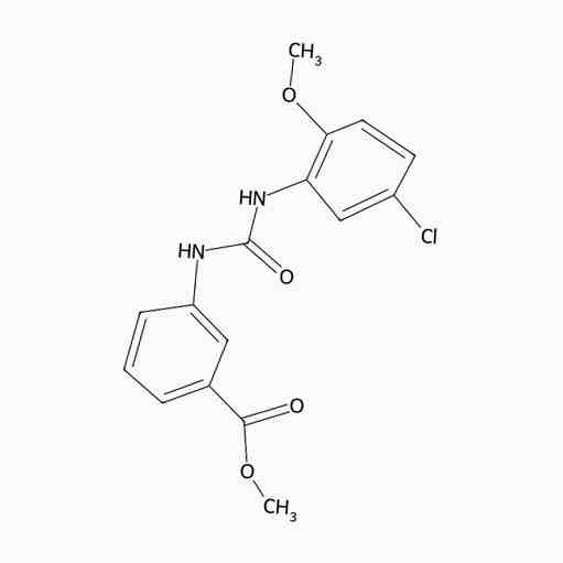 COC(=O)c1cccc(NC(=O)Nc2cc(Cl)ccc2OC)c1